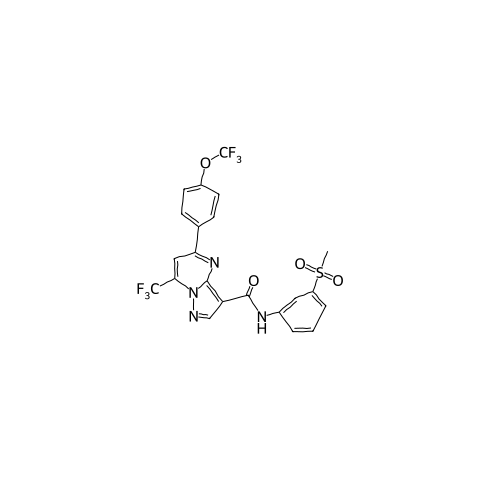 CS(=O)(=O)c1cccc(NC(=O)c2cnn3c(C(F)(F)F)cc(-c4ccc(OC(F)(F)F)cc4)nc23)c1